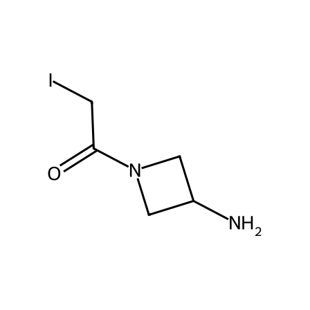 NC1CN(C(=O)CI)C1